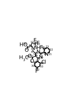 COC(=O)C1=C(CN2CC(F)(F)C[C@H]2C(=O)O)NC(c2ncccc2F)=N[C@H]1c1ccc(F)cc1Cl